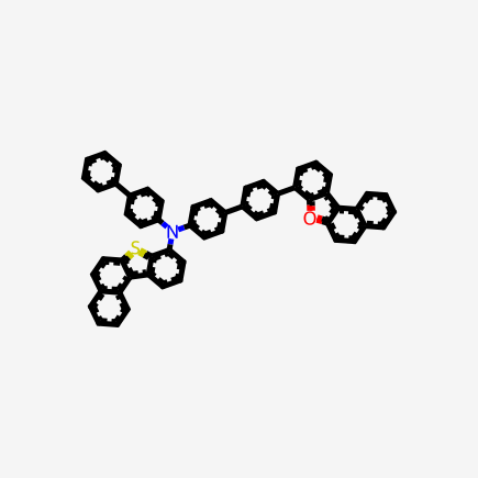 c1ccc(-c2ccc(N(c3ccc(-c4ccc(-c5cccc6c5oc5ccc7ccccc7c56)cc4)cc3)c3cccc4c3sc3ccc5ccccc5c34)cc2)cc1